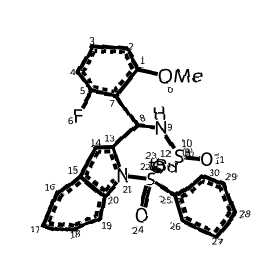 COc1cccc(F)c1C(N[S@@+]([O-])C(C)(C)C)c1cc2ccccc2n1S(=O)(=O)c1ccccc1